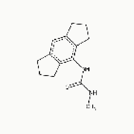 CNC(=O)Nc1c2c(cc3c1CCC3)CCC2